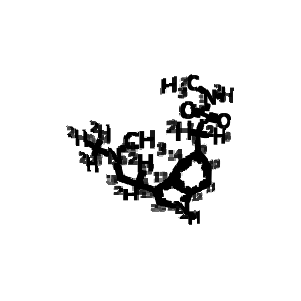 [2H]N(C)S(=O)(=O)C([2H])([2H])c1ccc2c(c1)c(C([2H])([2H])CN(C)C([2H])([2H])[2H])cn2[2H]